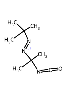 CC(C)(C)/N=N/C(C)(C)N=C=O